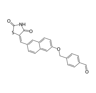 O=Cc1ccc(COc2ccc3cc(C=C4SC(=O)NC4=O)ccc3c2)cc1